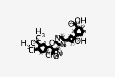 CC(C)c1cc(C(Oc2cnc(C3CC(O)(c4cccc(C(=O)O)c4)C3)cn2)c2cnoc2)c(Cl)cc1Cl